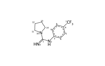 N=C(Nc1ccc(C(F)(F)F)cc1)N1CCCC1